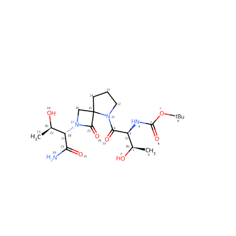 C[C@@H](O)[C@H](NC(=O)OC(C)(C)C)C(=O)N1CCCC12CN([C@H](C(N)=O)[C@@H](C)O)C2=O